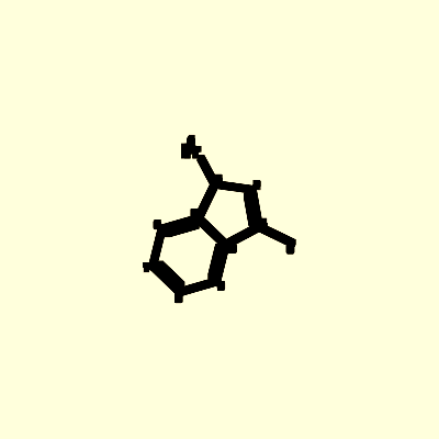 CC1=CC(C(C)C)c2ccccc21